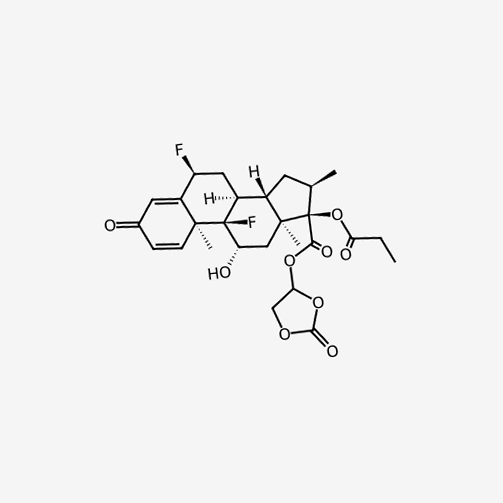 CCC(=O)O[C@]1(C(=O)OC2COC(=O)O2)[C@H](C)C[C@H]2[C@@H]3C[C@H](F)C4=CC(=O)C=C[C@]4(C)[C@@]3(F)[C@@H](O)C[C@@]21C